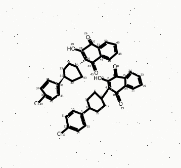 O=C1C(O)=C(C2CCC(c3ccc(Cl)cc3)CC2)C(=O)c2ccccc21.O=C1C(O)=C([C@H]2CC[C@H](c3ccc(Cl)cc3)CC2)C(=O)c2ccccc21